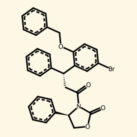 O=C(C[C@H](c1ccccc1)c1cc(Br)ccc1OCc1ccccc1)N1C(=O)OC[C@H]1c1ccccc1